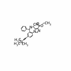 CCOC(=O)c1ncn2c1C(C)N=C(c1ccccc1)c1cc(C#C[Si](C)(C)C)ccc1-2